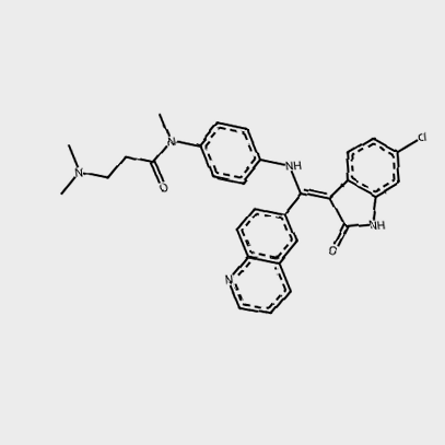 CN(C)CCC(=O)N(C)c1ccc(NC(=C2C(=O)Nc3cc(Cl)ccc32)c2ccc3ncccc3c2)cc1